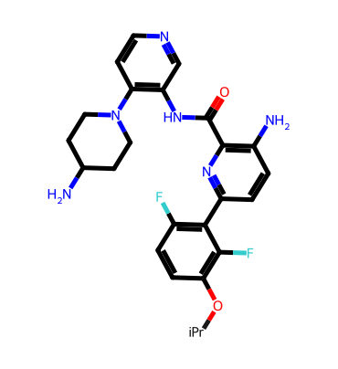 CC(C)Oc1ccc(F)c(-c2ccc(N)c(C(=O)Nc3cnccc3N3CCC(N)CC3)n2)c1F